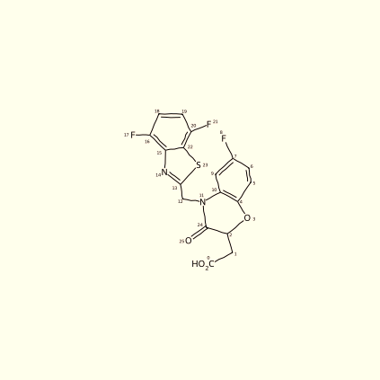 O=C(O)CC1Oc2ccc(F)cc2N(Cc2nc3c(F)ccc(F)c3s2)C1=O